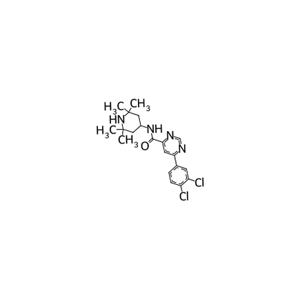 CC1(C)CC(NC(=O)c2cc(-c3ccc(Cl)c(Cl)c3)ncn2)CC(C)(C)N1